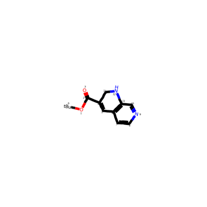 CC(C)(C)OC(=O)C1=Cc2ccncc2NC1